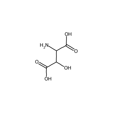 NC(C(=O)O)C(O)C(=O)O